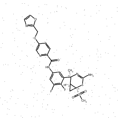 C[C@]1(c2cc(NC(=O)c3ccc(OCc4ncco4)cn3)cc(F)c2F)N=C(N)S[C@@]2(S(C)(=O)=O)C[C@H]21